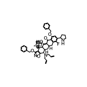 C=CCN(CC=C)[C@@H]1c2onc(OCc3ccccc3)c2C(=O)C2(O[Si](C)(C)C(C)(C)C)C(O)=C3C(=O)c4c(OCc5ccccc5)cc(C5CCCN5)c(F)c4C[C@H]3C[C@@H]12